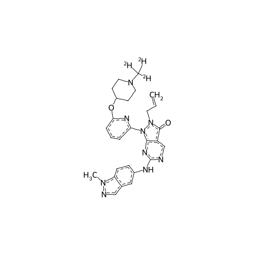 [2H]C([2H])([2H])N1CCC(Oc2cccc(-n3c4nc(Nc5ccc6c(cnn6C)c5)ncc4c(=O)n3CC=C)n2)CC1